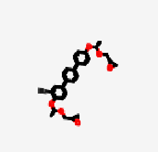 CCC(C)c1cc(-c2ccc(-c3ccc(OC(C)OCC4CO4)cc3)cc2)ccc1OC(C)OCC1CO1